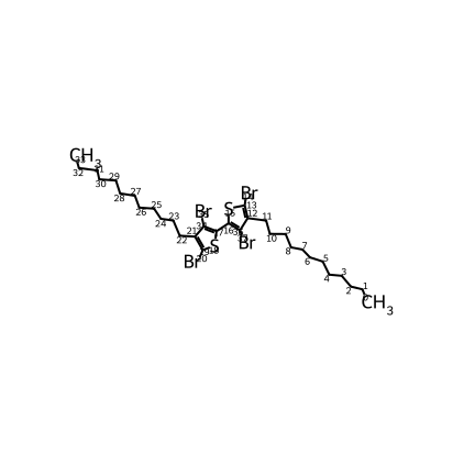 CCCCCCCCCCCCc1c(Br)sc(-c2sc(Br)c(CCCCCCCCCCCC)c2Br)c1Br